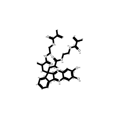 C=C(C)C(=O)OCCOC(=O)C(C)CC1(CC(C)C(=O)OCCOC(=O)C(=C)C)c2ccccc2-c2nc3cc(Cl)c(Cl)cc3nc21